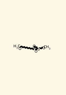 COCCCSC1CC(=O)N(CCCCCCCCCCC(C)=O)C1=O